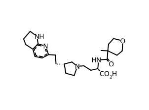 CC1(C(=O)N[C@H](CCN2CC[C@H](CCc3ccc4c(n3)NCCC4)C2)C(=O)O)CCOCC1